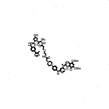 COc1cc(OC)c(Cl)c(NC(=O)N(C)c2cc(Nc3ccc(N4CCN(CC(=O)NCCOCCC(=O)N[C@H](C(=O)N5C[C@H](O)C[C@H]5C(=O)N[C@H](C)c5ccc(-c6scnc6C)cc5)C(C)(C)C)CC4)cc3)ncn2)c1Cl